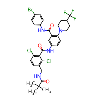 CC(C)(C)C(=O)NCc1ccc(Cl)c(C(=O)Nc2ccc(N3CCC(C(F)(F)F)CC3)c(C(=O)Nc3ccc(Br)cc3)c2)c1Cl